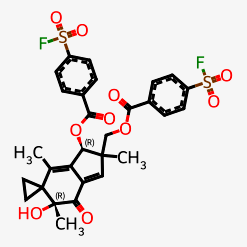 CC1=C2C(=CC(C)(COC(=O)c3ccc(S(=O)(=O)F)cc3)[C@@H]2OC(=O)c2ccc(S(=O)(=O)F)cc2)C(=O)[C@](C)(O)C12CC2